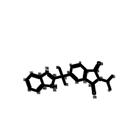 CC(C)N1C(=O)c2ccc(C(C)(C)c3nc4ccccc4[nH]3)cc2C1=O